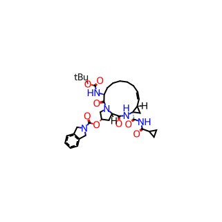 CC(C)(C)OC(=O)N[C@H]1CCCCC/C=C\[C@@H]2C[C@@]2(C(=O)NC(=O)C2CC2)NC(=O)[C@@H]2C[C@@H](OC(=O)N3Cc4ccccc4C3)CN2C1=O